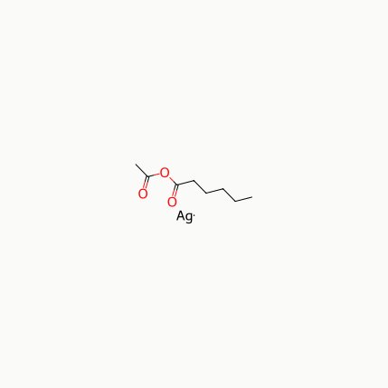 CCCCCC(=O)OC(C)=O.[Ag]